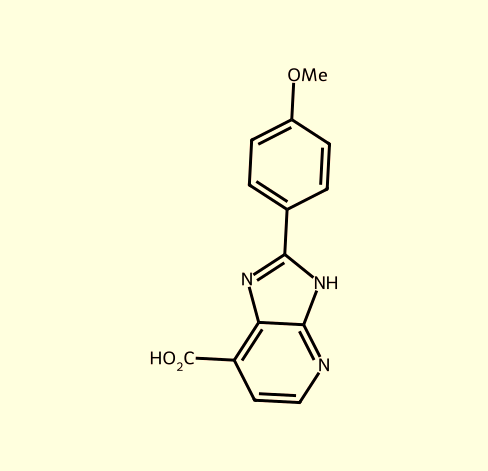 COc1ccc(-c2nc3c(C(=O)O)ccnc3[nH]2)cc1